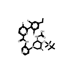 CCc1cc(F)c(-c2nc(C(=O)Nc3cnccc3N3C[C@H](C)[C@@H](O[Si](C)(C)C(C)(C)C)[C@H](NC(=O)O)C3)ccc2F)c(F)c1